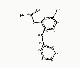 O=C(O)Cc1cc(F)ccc1Sc1ccccc1